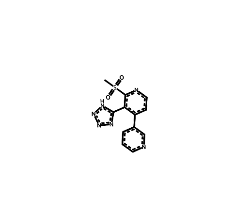 CS(=O)(=O)c1nccc(-c2cccnc2)c1-c1nnn[nH]1